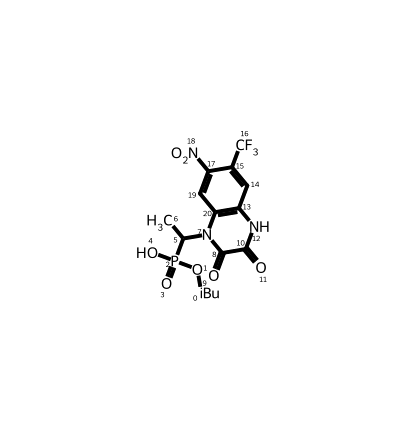 CCC(C)OP(=O)(O)C(C)n1c(=O)c(=O)[nH]c2cc(C(F)(F)F)c([N+](=O)[O-])cc21